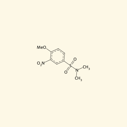 COc1ccc(S(=O)(=O)N(C)C)cc1[N+](=O)[O-]